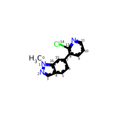 Cn1ncc2ccc(-c3cccnc3Cl)cc21